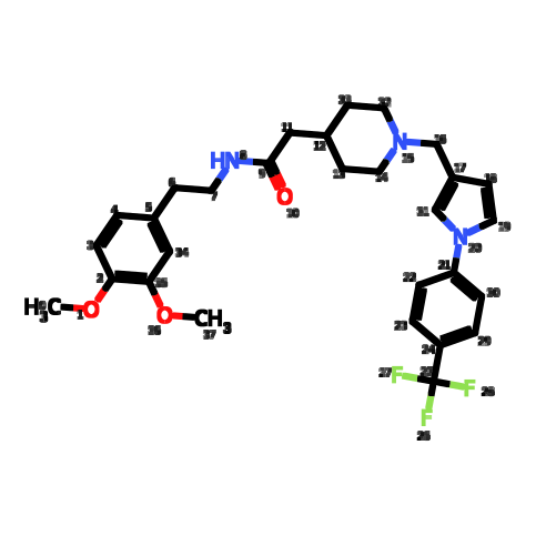 COc1ccc(CCNC(=O)CC2CCN(Cc3ccn(-c4ccc(C(F)(F)F)cc4)c3)CC2)cc1OC